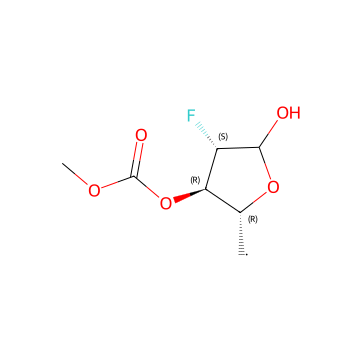 [CH2][C@H]1OC(O)[C@@H](F)[C@@H]1OC(=O)OC